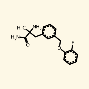 CC(N)(Cc1cccc(COc2ccccc2F)c1)C(N)=O